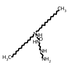 CCCCCCCCCCCCCCCCCN(CCCCCCCCCCCCCCCCC)NCC(=O)NCCCCNCCCN